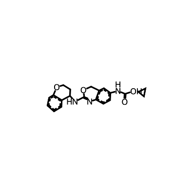 C1CC1.O=C(O)Nc1ccc2c(c1)COC(NC1CCOc3ccccc31)=N2